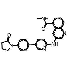 CNC(=O)c1cccc2ncc(Nc3ccc(-c4ccc(N5CCCC5=O)cc4)cn3)cc12